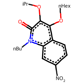 CCCCCCOc1c(OC(C)C)c(=O)n(CCCC)c2cc([N+](=O)[O-])ccc12